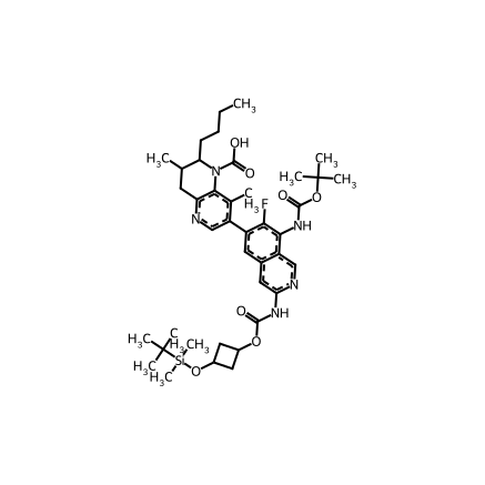 CCCCC1C(C)Cc2ncc(-c3cc4cc(NC(=O)OC5CC(O[Si](C)(C)C(C)(C)C)C5)ncc4c(NC(=O)OC(C)(C)C)c3F)c(C)c2N1C(=O)O